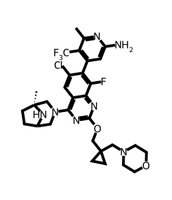 Cc1nc(N)cc(-c2c(Cl)cc3c(N4CC5CC[C@@](C)(C4)N5)nc(OCC4(CN5CCOCC5)CC4)nc3c2F)c1C(F)(F)F